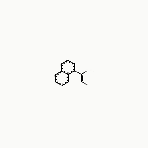 CCC=C(CCCC)c1cccc2ccccc12